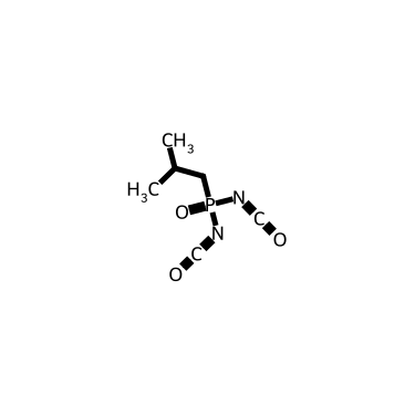 CC(C)CP(=O)(N=C=O)N=C=O